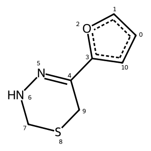 c1coc(C2=NNCSC2)c1